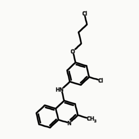 Cc1cc(Nc2cc(Cl)cc(OCCCCl)c2)c2ccccc2n1